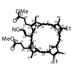 CCC1=C(C)c2cc3[nH]c(cc4nc(c(C=CC#N)c5[nH]c(cc1n2)c(C)c5CCC(=O)OC)C(CCC(=O)OC)=C4C)c(C)c3CC